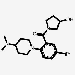 CC(C)c1ccc(N2CCC(N(C)C)CC2)c(C(=O)N2CCC(O)C2)c1